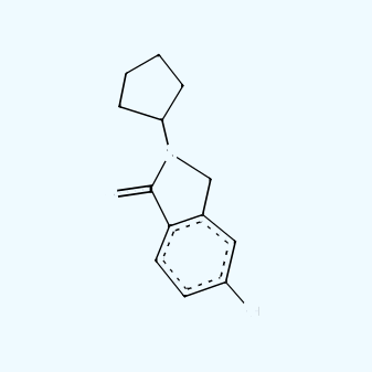 O=C1c2ccc(O)cc2CN1C1CCCC1